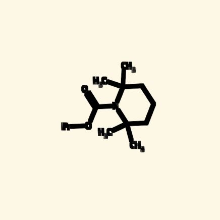 CC(C)OC(=O)N1C(C)(C)CCCC1(C)C